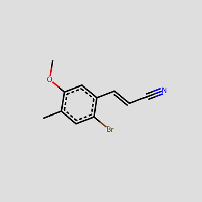 COc1cc(/C=C/C#N)c(Br)cc1C